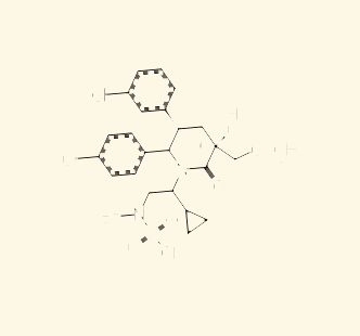 CCN(CC(C1CC1)N1C(=O)[C@@](C)(CC(=O)O)C[C@H](c2cccc(Cl)c2)C1c1ccc(Cl)cc1)S(C)(=O)=O